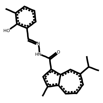 Cc1cc(C(=O)N/N=C/c2cccc(C)c2O)c2cc(C(C)C)cccc1-2